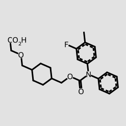 Cc1ccc(N(C(=O)OCC2CCC(COCC(=O)O)CC2)c2ccccc2)cc1F